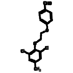 Cc1cc(Cl)c(OCCOc2ccc(C=O)cc2)c(Cl)c1